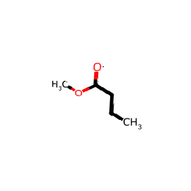 CCCC([O])OC